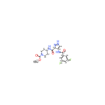 CC(C)(C)OC(=O)N1CCC(NC(=O)c2n[nH]cc2NC(=O)c2cc(F)cc(F)c2)CC1